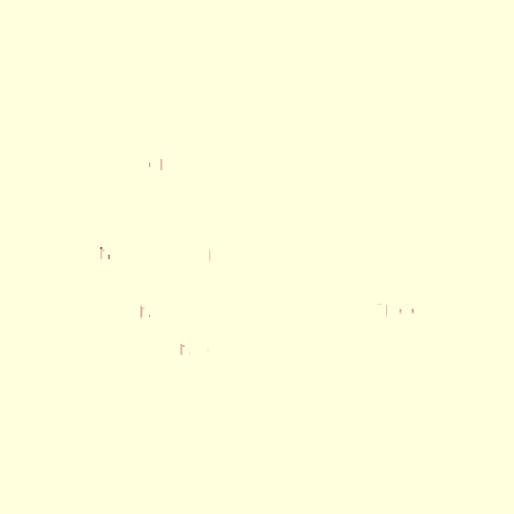 O=Cc1ccc(C2(N=O)N=NC(Cl)=N2)cc1